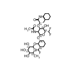 CC(=O)NC1C(O[C@@H](CC2CCCCC2)C(N)=O)[C@@H](O)[C@H](C(F)F)O[C@H]1O[C@@H]1CCC[C@@H](C(F)F)C1OC1O[C@@H](C)C(O)[C@H](O)[C@@H]1O